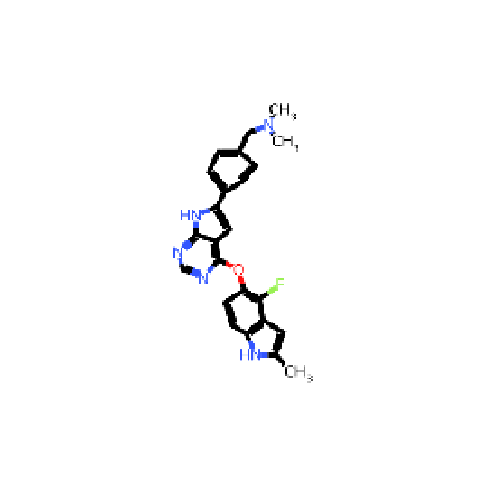 Cc1cc2c(F)c(Oc3ncnc4[nH]c(-c5ccc(CN(C)C)cc5)cc34)ccc2[nH]1